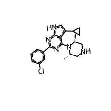 C[C@H]1CNC[C@H](C)N1c1nc(-c2cccc(Cl)c2)nc2[nH]cc(C3CC3)c12